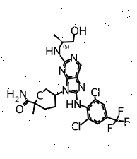 C[C@@H](CO)Nc1ncc2nc(Nc3c(Cl)cc(C(F)(F)F)cc3Cl)n(C3CCC(C)(C(N)=O)CC3)c2n1